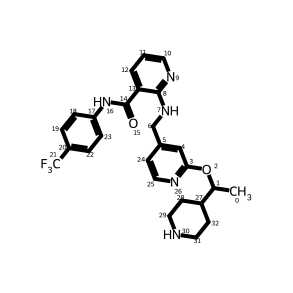 CC(Oc1cc(CNc2ncccc2C(=O)Nc2ccc(C(F)(F)F)cc2)ccn1)C1CCNCC1